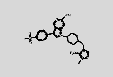 CNc1cc2c(cn1)c(-c1ccc(S(C)(=O)=O)cc1)nn2C1CCC(Oc2cnn(C)c2C(F)(F)F)CC1